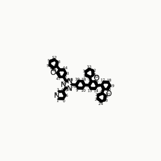 c1cncc(-c2nc(-c3ccc(-c4ccc(-c5cccc6oc7ccccc7c56)c5oc6ccccc6c45)cc3)nc(-c3ccc4c(c3)oc3ccccc34)n2)c1